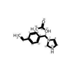 C=Cc1ccc(CN2C=CNC2)cc1.CC(=O)O